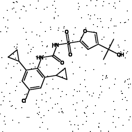 CC(C)(O)c1coc(S(=O)(=O)NC(=O)Nc2c(C3CC3)cc(Cl)cc2C2CC2)c1